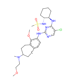 COCCN(C)C1CCc2ccc(Nc3ncc(Cl)c(N[C@@H]4CCCC[C@H]4NS(C)(=O)=O)n3)c(OC)c2CC1